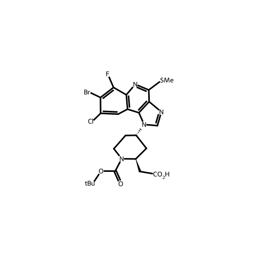 CSc1nc2c(F)c(Br)c(Cl)cc2c2c1ncn2[C@H]1CCN(C(=O)OC(C)(C)C)[C@H](CC(=O)O)C1